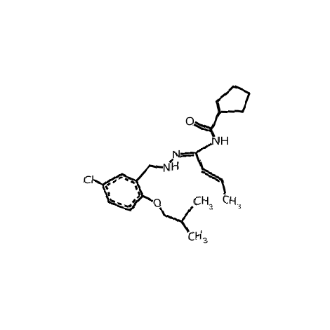 C/C=C/C(=N\NCc1cc(Cl)ccc1OCC(C)C)NC(=O)C1CCCC1